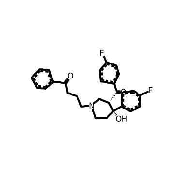 O=C(CCCN1CC[C@](O)(c2ccc(F)cc2)[C@@H](C(=O)c2ccc(F)cc2)C1)c1ccccc1